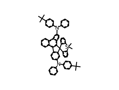 CC(C)(C)c1ccc(N(c2ccccc2)c2ccc3c(c2)C2(c4ccccc4[Si](C)(C)c4ccccc42)c2c-3c3ccccc3c3cc(N(c4ccccc4)c4ccc(C(C)(C)C)cc4)ccc23)cc1